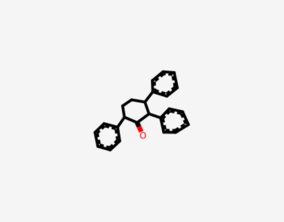 O=C1C(c2ccccc2)CCC(c2ccccc2)C1c1ccccc1